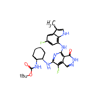 Cc1c[nH]c2c(Nc3nc(N[C@@H]4CCCC[C@@H]4NC(=O)OC(C)(C)C)c(F)c4cn[nH]c(=O)c34)cc(F)cc12